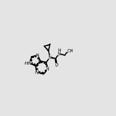 N#CCNC(=O)N(c1ncnc2[nH]cnc12)C1CC1